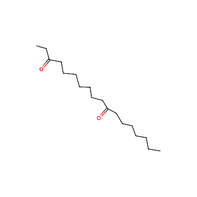 CCCCCCCC(=O)CCCCCCCC(=O)CC